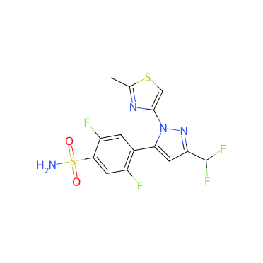 Cc1nc(-n2nc(C(F)F)cc2-c2cc(F)c(S(N)(=O)=O)cc2F)cs1